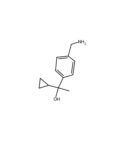 CC(O)(c1ccc(CN)cc1)C1CC1